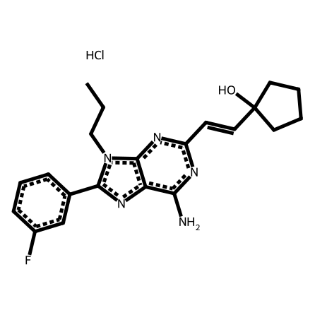 CCCn1c(-c2cccc(F)c2)nc2c(N)nc(C=CC3(O)CCCC3)nc21.Cl